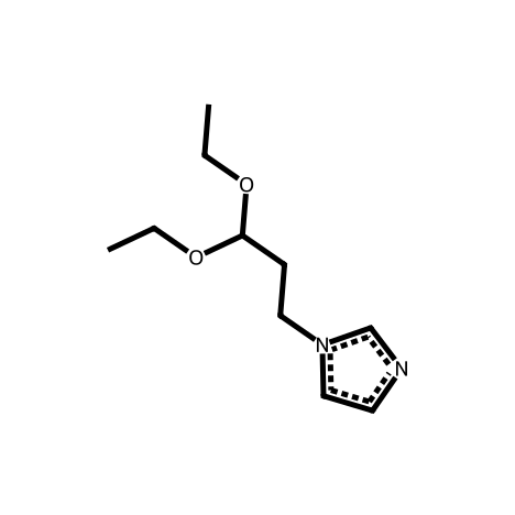 CCOC(CCn1ccnc1)OCC